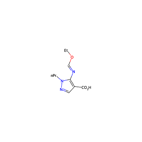 CCCn1ncc(C(=O)O)c1N=COCC